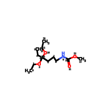 CCO[Si](CC)(CCCNC(=O)OC)OCC